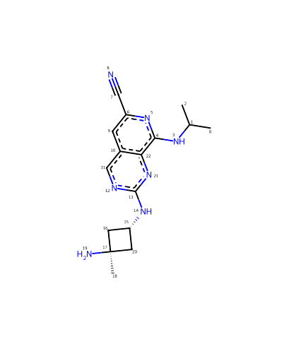 CC(C)Nc1nc(C#N)cc2cnc(N[C@H]3C[C@](C)(N)C3)nc12